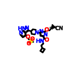 CS(=O)(=O)COc1ccnc2[nH]nc(C3CCN(c4cc(C(=O)NCCC5CCC5)nc(OC[C@H]5C[C@H]5C#N)n4)CC3)c12